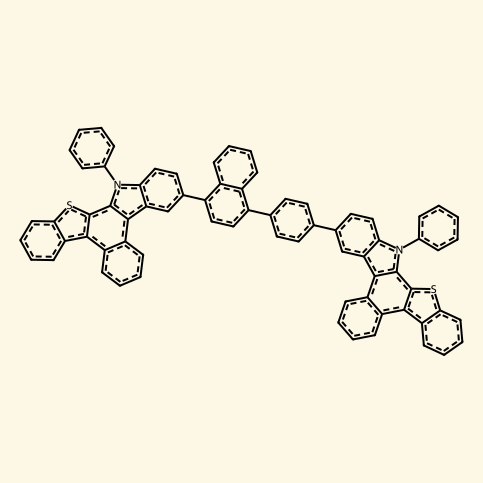 c1ccc(-n2c3ccc(-c4ccc(-c5ccc(-c6ccc7c(c6)c6c8ccccc8c8c9ccccc9sc8c6n7-c6ccccc6)c6ccccc56)cc4)cc3c3c4ccccc4c4c5ccccc5sc4c32)cc1